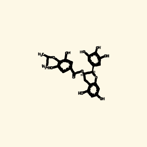 CC(C)Oc1c(O)cc(C(=O)O[C@H]2Cc3c(O)cc(O)cc3O[C@@H]2c2cc(O)c(O)c(O)c2)cc1O